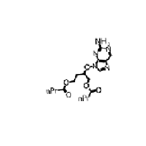 CCCC(=O)OCCC(COC(=O)CCC)On1cnc2cnc(N)nc21